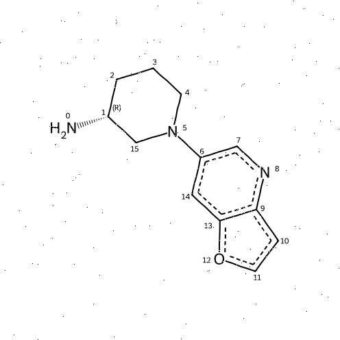 N[C@@H]1CCCN(c2cnc3ccoc3c2)C1